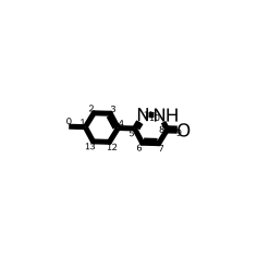 CC1CC=C(c2ccc(=O)[nH]n2)CC1